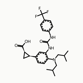 CC(C)CN(CC(C)C)c1ccc([C@H]2C[C@H]2C(=O)O)cc1NC(=O)Nc1ccc(C(F)(F)F)cc1